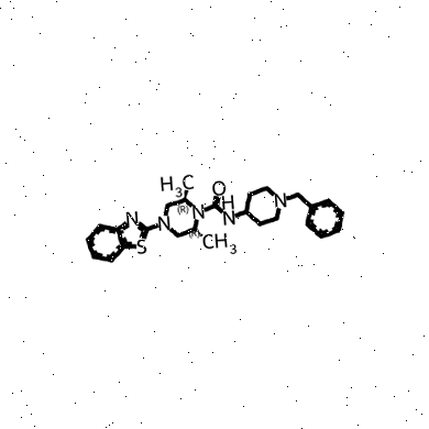 C[C@@H]1CN(c2nc3ccccc3s2)C[C@@H](C)N1C(=O)NC1CCN(Cc2ccccc2)CC1